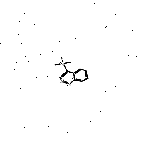 C[Si](C)(C)c1cnnc2ccccc12